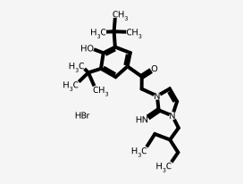 Br.CCC(CC)Cn1ccn(CC(=O)c2cc(C(C)(C)C)c(O)c(C(C)(C)C)c2)c1=N